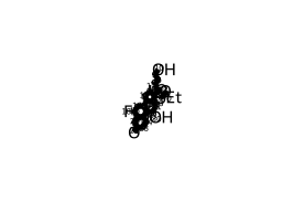 CCC(=O)O[C@]1(C(=O)SCCO)[C@H](C)CC2C3C[C@H](F)C4=CC(=O)C=C[C@]4(C)[C@@]3(F)[C@@H](O)C[C@@]21C